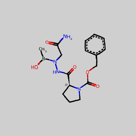 CB(O)N(CC(N)=O)NC(=O)[C@@H]1CCCN1C(=O)OCc1ccccc1